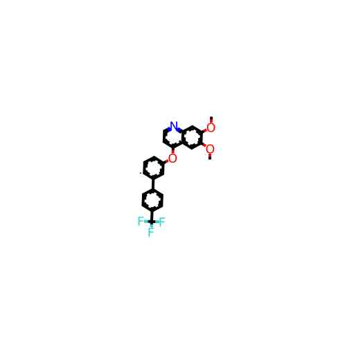 COc1cc2nccc(Oc3cc[c]c(-c4ccc(C(F)(F)F)cc4)c3)c2cc1OC